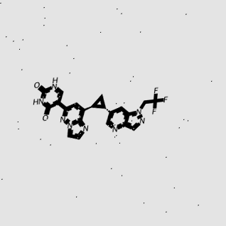 O=c1[nH]cc(-c2cc([C@H]3C[C@@H]3c3cnc4cnn(CC(F)(F)F)c4c3)c3nccn3n2)c(=O)[nH]1